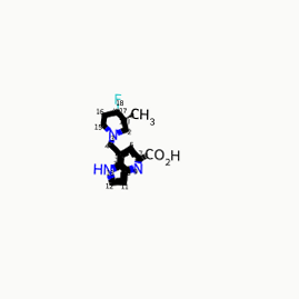 C[C@@H]1CN(Cc2cc(C(=O)O)nc3cc[nH]c23)CC[C@@H]1F